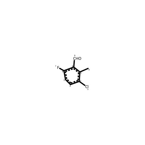 Cc1c(Cl)ccc(F)c1C=O